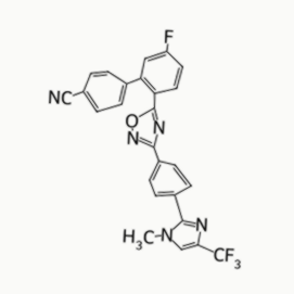 Cn1cc(C(F)(F)F)nc1-c1ccc(-c2noc(-c3ccc(F)cc3-c3ccc(C#N)cc3)n2)cc1